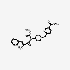 COC(=O)c1ccc(CN2CCC(N(C(=O)OC(C)(C)C)C3CC3C(C)=Cc3ccccc3)CC2)nc1